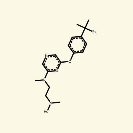 CCC(C)(C)c1ccc(Oc2cncc(N(C)CCN(C)C(C)=O)n2)cc1